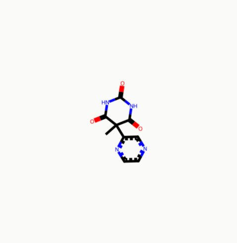 CC1(c2cnccn2)C(=O)NC(=O)NC1=O